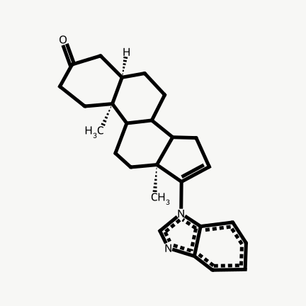 C[C@]12CCC3C(CC[C@@H]4CC(=O)CC[C@]34C)C1CC=C2n1cnc2ccccc21